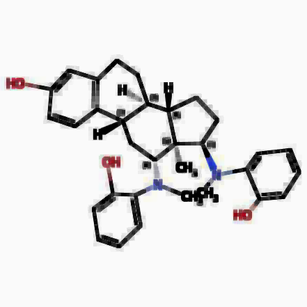 CN(c1ccccc1O)[C@@H]1CC[C@H]2[C@@H]3CCc4cc(O)ccc4[C@H]3C[C@@H](N(C)c3ccccc3O)[C@@]21C